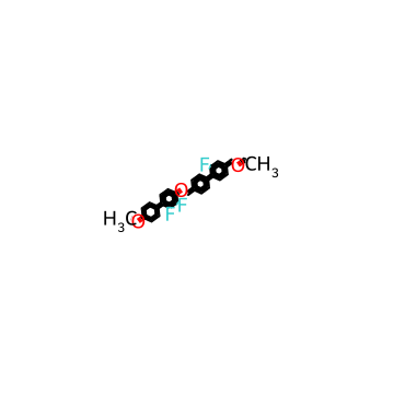 CCOCc1ccc(-c2ccc(COc3ccc(C4CCC(OC)CC4)c(F)c3F)cc2)c(F)c1